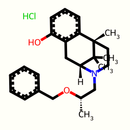 C[C@@H](CN1CC[C@@]2(C)c3cccc(O)c3C[C@@H]1C2(C)C)OCc1ccccc1.Cl